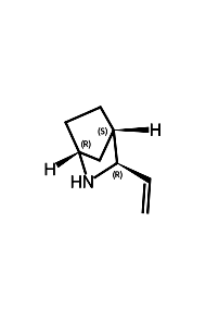 C=C[C@H]1N[C@@H]2CC[C@H]1C2